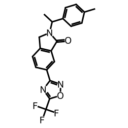 Cc1ccc(C(C)N2Cc3ccc(-c4noc(C(F)(F)F)n4)cc3C2=O)cc1